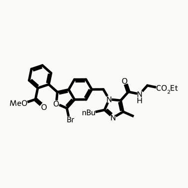 CCCCc1nc(C)c(C(=O)NCC(=O)OCC)n1Cc1ccc2c(-c3ccccc3C(=O)OC)oc(Br)c2c1